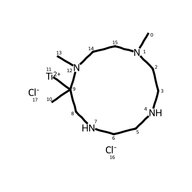 CN1CCNCCNC[C](C)([Ti+2])N(C)CC1.[Cl-].[Cl-]